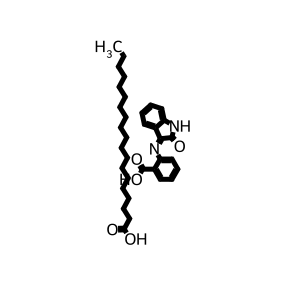 CCCCCCCCCCCCCCCCCCC(=O)O.O=C1Nc2ccccc2C1=Nc1ccccc1C(=O)O